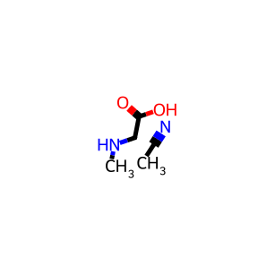 CC#N.CNCC(=O)O